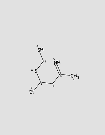 CCC(CC(C)=N)SCS